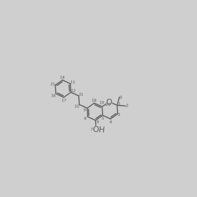 CC1(C)C=Cc2c(O)cc(CCc3ccccc3)cc2O1